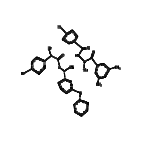 CC(C)C(C(=O)OC(C#N)c1cccc(Oc2ccccc2)c1)c1ccc(Cl)cc1.CCc1ccc(C(=O)NN(C(=O)c2cc(C)cc(C)c2)C(C)(C)C)cc1